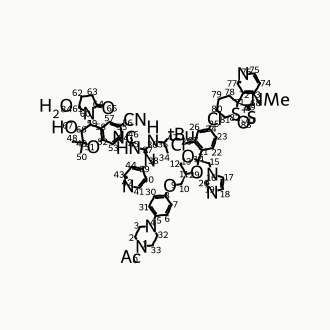 CC(=O)N1CCN(c2ccc(OC[C@H]3CO[C@](Cn4ccnc4)(c4ccc(Cl)cc4Cl)O3)cc2)CC1.CC(N/C(=N/c1ccncc1)NC#N)C(C)(C)C.CC1(C)Oc2ccc(C#N)cc2[C@H](N2CCCC2=O)[C@H]1O.CNC(=S)[C@]1(c2cccnc2)CCCC[S@@+]1[O-].O